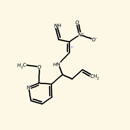 C=CCC(N/C=C(\C=N)[N+](=O)[O-])c1cccnc1OC